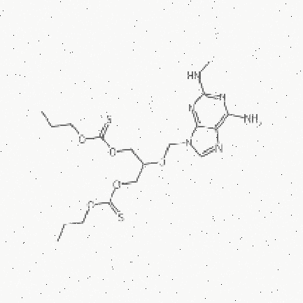 CCCOC(=S)OCC(COC(=S)OCCC)OCn1cnc2c(N)nc(NC)nc21